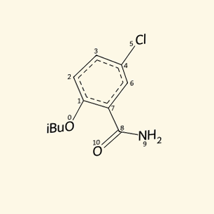 CC(C)COc1ccc(Cl)cc1C(N)=O